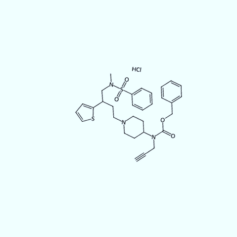 C#CCN(C(=O)OCc1ccccc1)C1CCN(CCC(CN(C)S(=O)(=O)c2ccccc2)c2cccs2)CC1.Cl